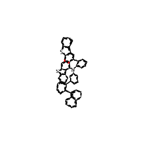 c1cc(-c2ccccc2-c2cccc3ccccc23)cc(N(c2ccccc2-c2ccc3sc4ccccc4c3c2)c2cccc3sc4ccccc4c23)c1